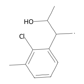 [CH2]C(c1cccc(C)c1Cl)C(C)O